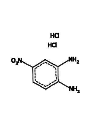 Cl.Cl.Nc1ccc([N+](=O)[O-])cc1N